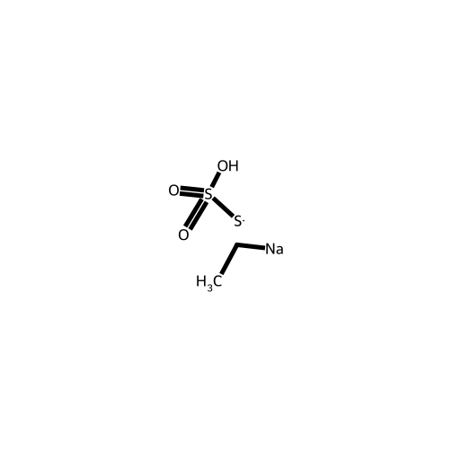 C[CH2][Na].O=S(=O)(O)[S]